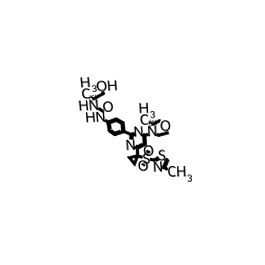 Cc1csc(S(=O)(=O)C2(c3cc(N4CCOC[C@@H]4C)nc(-c4ccc(NC(=O)N[C@@H](C)CO)cc4)n3)CC2)n1